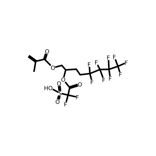 C=C(C)C(=O)OCC(CCC(F)(F)C(F)(F)C(F)(F)C(F)(F)F)OC(=O)C(F)(F)S(=O)(=O)O